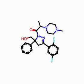 CC(C(=O)N1N=C(c2cc(F)ccc2F)CC1(CO)c1ccccc1)N1CCN(C)CC1